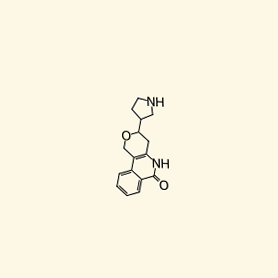 O=c1[nH]c2c(c3ccccc13)COC(C1CCNC1)C2